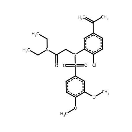 C=C(C)c1ccc(Cl)c(N(CC(=O)N(CC)CC)S(=O)(=O)c2ccc(OC)c(OC)c2)c1